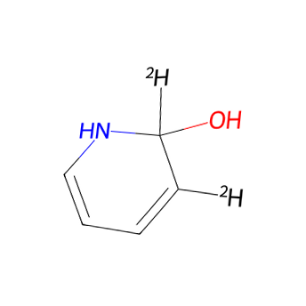 [2H]C1=CC=CNC1([2H])O